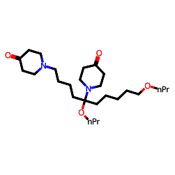 CCCOCCCCCC(CCCCN1CCC(=O)CC1)(OCCC)N1CCC(=O)CC1